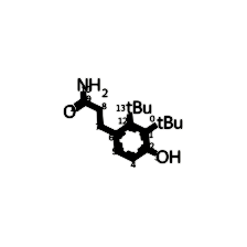 CC(C)(C)c1c(O)ccc(CCC(N)=O)c1C(C)(C)C